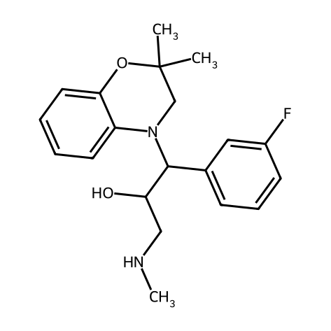 CNCC(O)C(c1cccc(F)c1)N1CC(C)(C)Oc2ccccc21